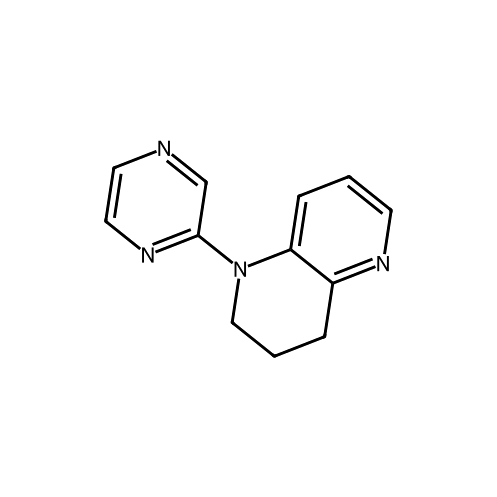 c1cnc2c(c1)N(c1cnccn1)CCC2